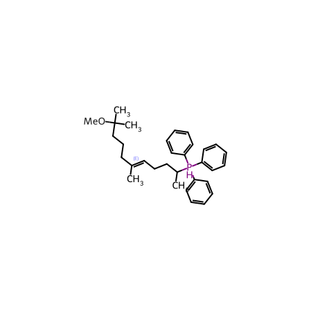 COC(C)(C)CCC/C(C)=C/CCC(C)[PH](c1ccccc1)(c1ccccc1)c1ccccc1